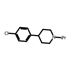 CC(C)N1CCC(c2ccc(Cl)cc2)CC1